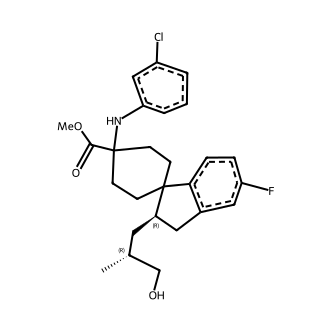 COC(=O)C1(Nc2cccc(Cl)c2)CCC2(CC1)c1ccc(F)cc1C[C@H]2C[C@@H](C)CO